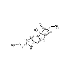 CCCC1Nc2cc3c(cc2N1)C(C)(C(=O)OCC)C(=O)N3